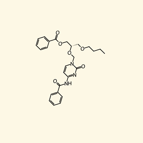 CCCCOC[C@@H](COC(=O)c1ccccc1)OCn1ccc(NC(=O)c2ccccc2)nc1=O